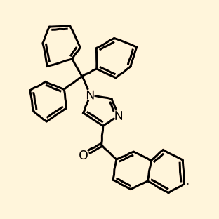 O=C(c1ccc2c[c]ccc2c1)c1cn(C(c2ccccc2)(c2ccccc2)c2ccccc2)cn1